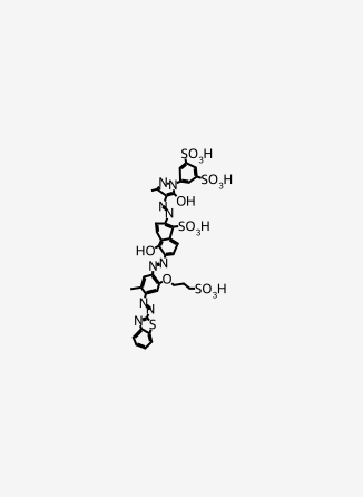 Cc1cc(N=Nc2ccc3c(S(=O)(=O)O)c(N=Nc4c(C)nn(-c5cc(S(=O)(=O)O)cc(S(=O)(=O)O)c5)c4O)ccc3c2O)c(OCCCS(=O)(=O)O)cc1N=Nc1nc2ccccc2s1